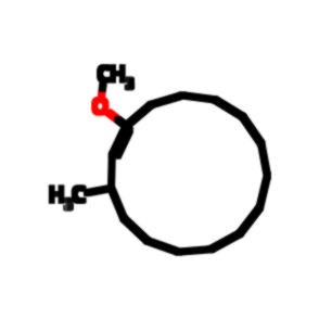 COC1=CC(C)CCCCCCCCCCCC1